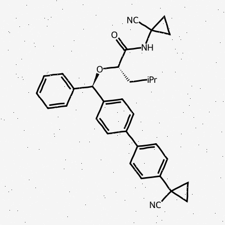 CC(C)C[C@H](O[C@H](c1ccccc1)c1ccc(-c2ccc(C3(C#N)CC3)cc2)cc1)C(=O)NC1(C#N)CC1